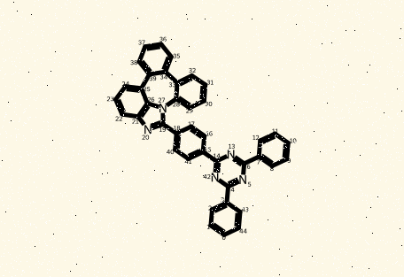 c1ccc(-c2nc(-c3ccccc3)nc(-c3ccc(-c4nc5cccc6c5n4-c4ccccc4-c4ccccc4-6)cc3)n2)cc1